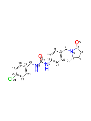 C[C@H]1CCC(=O)N1Cc1ccc(NC(=O)NCc2ccc(Cl)cc2)cc1